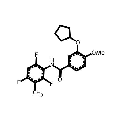 COc1ccc(C(=O)Nc2c(F)cc(F)c(C)c2F)cc1OC1CCCC1